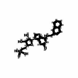 O=P(O)(O)CC[C@H]1O[C@@H](n2cnc3c(NCc4ccc5ccccc5c4)nc(Cl)nc32)[C@@H](O)C1O